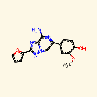 COc1cc(-c2cn3nc(-c4ccco4)nc3c(N)n2)ccc1O